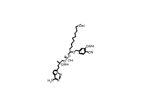 CCCCCCCCCCCCCCCCCCC[C@H](COP(=O)(O)OC[C@](C)(CCc1ccc2c(N)ncnn12)OC)OCc1ccc(C#N)c(OC)c1